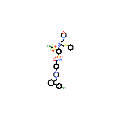 O=C(NS(=O)(=O)c1ccc(N[C@H](CCN2CCOCC2)CSc2ccccc2)c(S(=O)(=O)C(F)(F)Cl)c1)c1ccc(N2CCN(CC3=C(c4ccc(Cl)cc4)CCCCC3)CC2)cc1